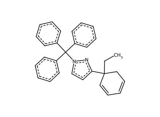 CCC1(c2ccn(C(c3ccccc3)(c3ccccc3)c3ccccc3)n2)C=CC=CC1